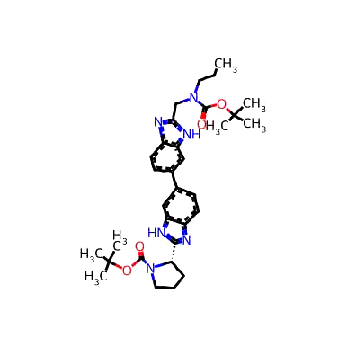 CCCN(Cc1nc2ccc(-c3ccc4nc([C@@H]5CCCN5C(=O)OC(C)(C)C)[nH]c4c3)cc2[nH]1)C(=O)OC(C)(C)C